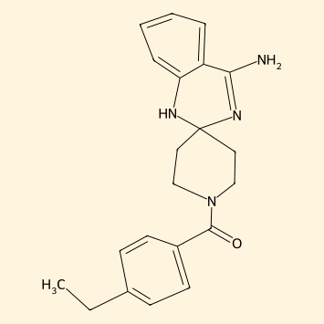 CCc1ccc(C(=O)N2CCC3(CC2)N=C(N)c2ccccc2N3)cc1